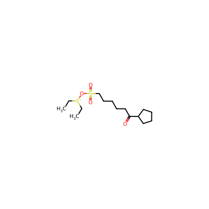 CC[S+](CC)OS(=O)(=O)CCCCCC(=O)C1CCCC1